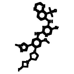 COc1cc(N2CCC(N3CC(F)C3)C2)c(-c2cnn(C)c2)cc1Nc1ncc(Br)c(Nc2ccc3nccnc3c2P(C)(C)=O)n1